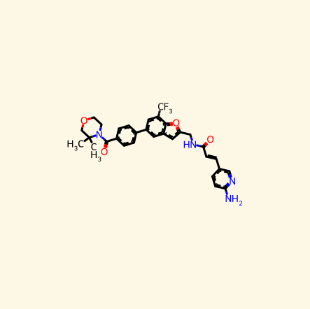 CC1(C)COCCN1C(=O)c1ccc(-c2cc(C(F)(F)F)c3oc(CNC(=O)C=Cc4ccc(N)nc4)cc3c2)cc1